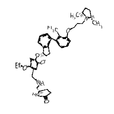 CCOc1cc(O[C@H]2CCc3c(-c4cccc(OCCCN5[C@H](C)CC[C@H]5C)c4C)cccc32)c(Cl)cc1CNC[C@@H]1CCC(=O)N1